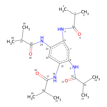 CC(C)C(=O)Nc1cc(NC(=O)C(C)C)c(NC(=O)C(C)C)cc1NC(=O)C(C)C